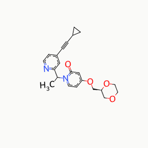 CC(c1cc(C#CC2CC2)ccn1)n1ccc(OC[C@@H]2COCCO2)cc1=O